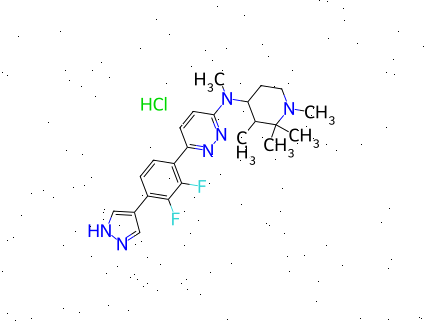 CC1C(N(C)c2ccc(-c3ccc(-c4cn[nH]c4)c(F)c3F)nn2)CCN(C)C1(C)C.Cl